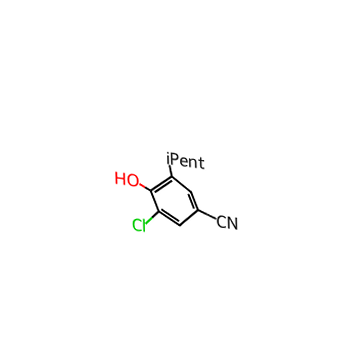 CCCC(C)c1cc(C#N)cc(Cl)c1O